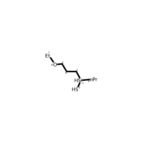 CCC[SiH](S)CCCOCC